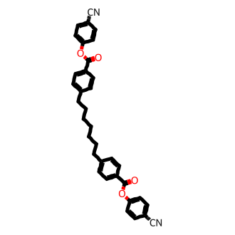 N#Cc1ccc(OC(=O)c2ccc(CCCCCCCc3ccc(C(=O)Oc4ccc(C#N)cc4)cc3)cc2)cc1